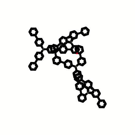 c1ccc(-c2ccc(N(c3ccc(-c4ccccc4)cc3)c3ccc(-c4ccc(-c5ccccc5-n5c6cc(-c7ccccc7)ccc6c6ccc(-c7cccc(-c8cccc(-c9ccc(N(c%10ccc(-c%11ccc(-c%12ccccc%12-n%12c%13cc(-c%14ccccc%14)ccc%13c%13ccc(-c%14ccccc%14)cc%13%12)cc%11)cc%10)c%10cccc(-c%11ccccc%11)c%10)cc9)c8)c7)cc65)cc4)cc3)cc2)cc1